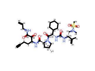 C#CCCC(NC(=O)[C@@H]1C[C@@H](C)CN1C(=O)[C@@H](NC(=O)N[C@H](CN(C)S(C)(=O)=O)C(=C)C)C1CCCCC1)C(=O)C(=O)NCC=C